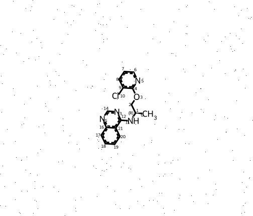 C[C@H](COc1ncccc1Cl)Nc1ncnc2ccccc12